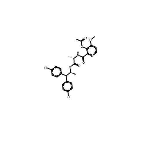 COc1ccnc(C(=O)N[C@@H](C)C(=O)O[C@@H](C)C(c2ccc(Cl)cc2)c2ccc(Cl)cc2)c1OC(C)=O